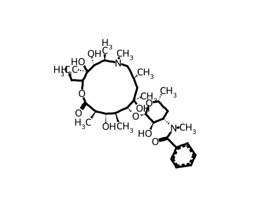 CCC1OC(=O)[C@H](C)[C@@H](O)[C@H](C)[C@@H](O[C@@H]2O[C@H](C)C[C@H](N(C)C(=O)c3ccccc3)[C@H]2O)[C@](C)(O)C[C@@H](C)CN(C)[C@H](C)[C@@H](O)[C@]1(C)O